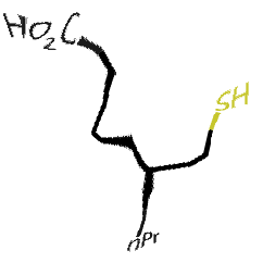 CCCC(CS)CCC(=O)O